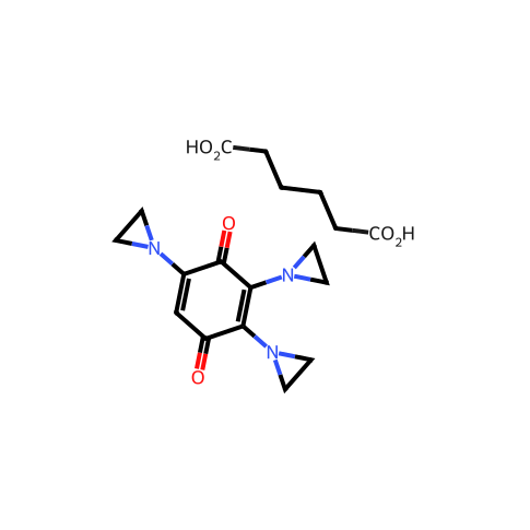 O=C(O)CCCCC(=O)O.O=C1C=C(N2CC2)C(=O)C(N2CC2)=C1N1CC1